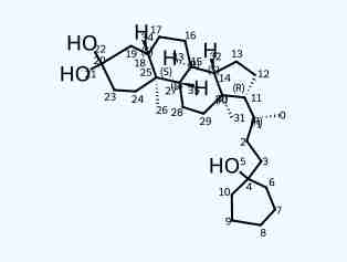 C[C@H](CCC1(O)CCCCC1)[C@H]1CC[C@H]2[C@@H]3CC[C@H]4CC(O)(O)CC[C@]4(C)[C@H]3CC[C@]12C